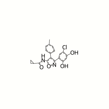 Cc1ccc(-c2c(-c3cc(Cl)c(O)cc3O)noc2NC(=O)C2CC2)cc1